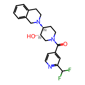 O=C(c1ccnc(C(F)F)c1)N1CC[C@H](N2CCc3ccccc3C2)[C@@H](O)C1